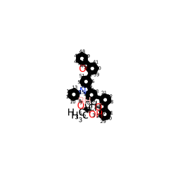 CC(C)(O)C(C)(C)OBc1ccccc1-n1c2ccc(-c3cccc4c3oc3ccccc34)cc2c2cc(-c3cccc4c3oc3ccccc34)ccc21